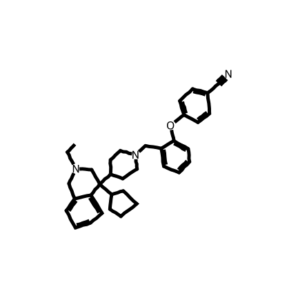 CCN1Cc2ccccc2C(C2CCCC2)(C2CCN(Cc3ccccc3Oc3ccc(C#N)cc3)CC2)C1